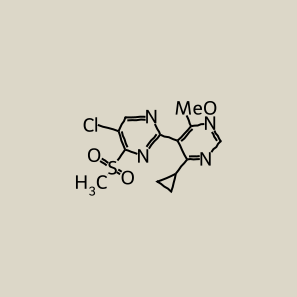 COc1ncnc(C2CC2)c1-c1ncc(Cl)c(S(C)(=O)=O)n1